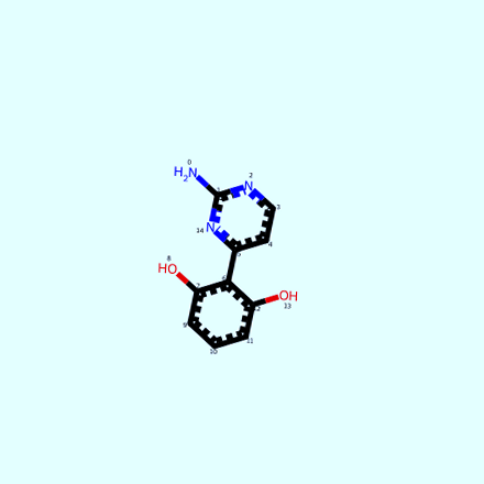 Nc1n[c]cc(-c2c(O)cccc2O)n1